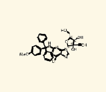 C#C[C@@]1(O)[C@H](O)[C@@H](CO)O[C@H]1n1cnc2c(Cl)nc(NC(c3ccccc3)(c3ccccc3)c3ccc(OC)cc3)nc21